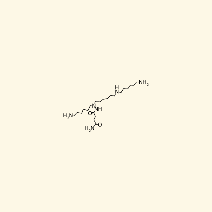 NCCCCCCNCCCCCCN(CCCCCCN)NC(=O)CCC(N)=O